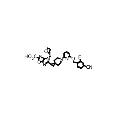 N#Cc1ccc(COc2cccc(N3CCC4(CC3)CC4c3nc4oc(C(=O)O)nc4n3C[C@@H]3CCO3)n2)c(F)c1